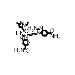 CCn1nc(C)cc1C(=O)Nc1nc2cc(C(N)=O)cnc2n1C/C=C/Cn1c(N)nc2cc(C(N)=O)ccc21